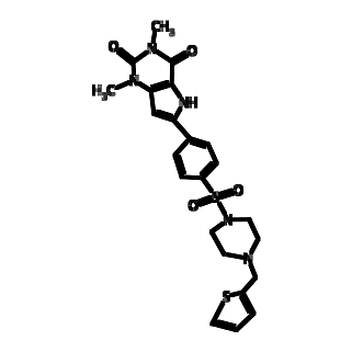 Cn1c(=O)c2[nH]c(-c3ccc(S(=O)(=O)N4CCN(Cc5cccs5)CC4)cc3)cc2n(C)c1=O